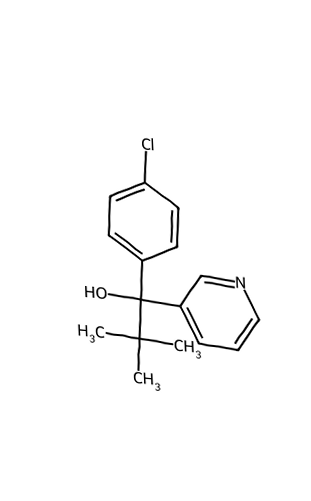 CC(C)(C)C(O)(c1ccc(Cl)cc1)c1cccnc1